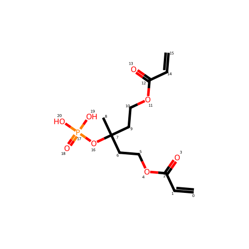 C=CC(=O)OCCC(C)(CCOC(=O)C=C)OP(=O)(O)O